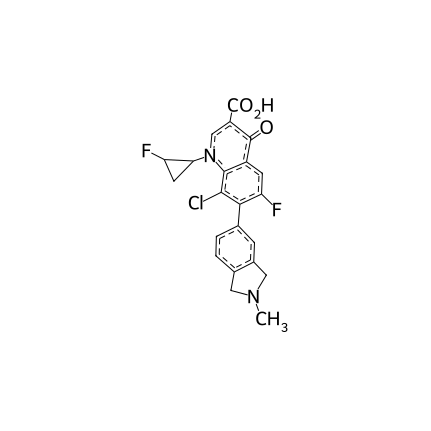 CN1Cc2ccc(-c3c(F)cc4c(=O)c(C(=O)O)cn(C5CC5F)c4c3Cl)cc2C1